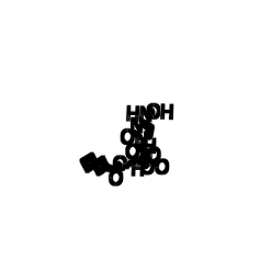 O=C1O[C@@H]2[C@H](O1)[C@@H](COC(=O)C1CC3(CCC3)C1)O[C@H]2n1ccc(NO)nc1=O